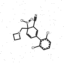 N#CC1C=C(c2c(Cl)cccc2Cl)C=CC1(CN1CCC1)[N+](=O)[O-]